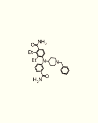 CCc1c(C(N)=O)ccc(N(c2cccc(C(N)=O)c2)C2CCN(Cc3ccccc3)CC2)c1CC